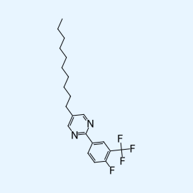 CCCCCCCCCCc1cnc(-c2ccc(F)c(C(F)(F)F)c2)nc1